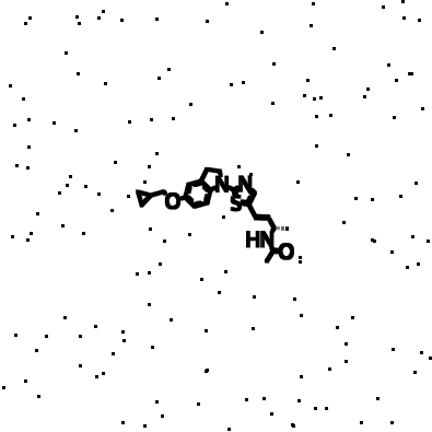 CC(=O)N[C@@H](C)/C=C/c1cnc(N2CCc3cc(OCC4CC4)ccc32)s1